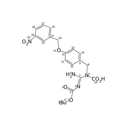 CC(C)(C)OC(=O)/N=C(\N)N(Cc1ccc(OCc2cccc([N+](=O)[O-])c2)cc1)C(=O)O